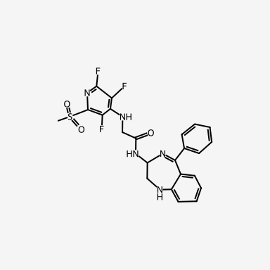 CS(=O)(=O)c1nc(F)c(F)c(NCC(=O)NC2CNc3ccccc3C(c3ccccc3)=N2)c1F